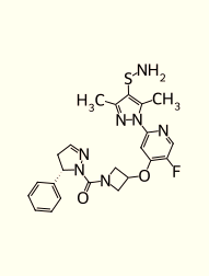 Cc1nn(-c2cc(OC3CN(C(=O)N4N=CC[C@H]4c4ccccc4)C3)c(F)cn2)c(C)c1SN